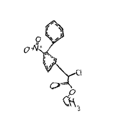 COC(=O)C(Cl)c1ccc([N+](=O)[O-])c(-c2ccccc2)c1